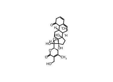 CC1=C(CO)C(=O)O[C@@H]([C@](C)(O)[C@@]2(O)CC[C@@]3(O)[C@@H]4CC=C5C=CCC(=O)[C@]5(C)[C@H]4CC[C@]23C)C1